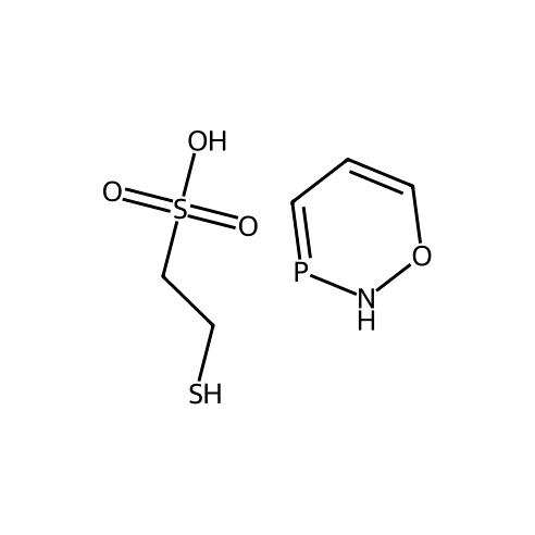 C1=CONP=C1.O=S(=O)(O)CCS